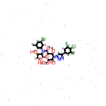 CO[C@@H]1[C@@H](n2cc(-c3cc(F)c(Cl)c(F)c3)nn2)[C@@H](O)[C@@H](CO)O[C@H]1C(=O)N(c1cc(C)cc(Br)c1)[C@H]1COC[C@@H]1O